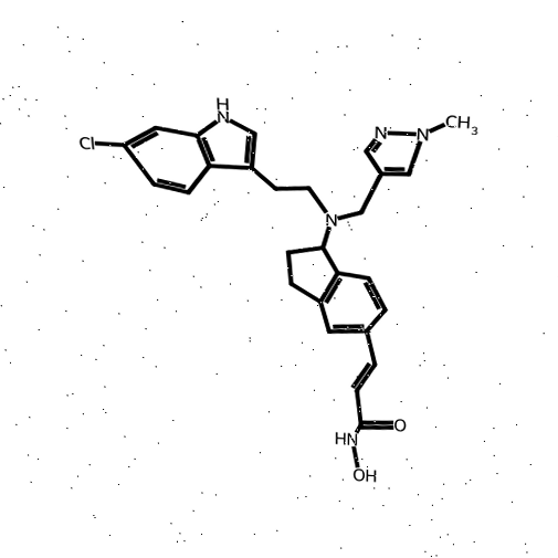 Cn1cc(CN(CCc2c[nH]c3cc(Cl)ccc23)C2CCc3cc(C=CC(=O)NO)ccc32)cn1